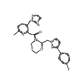 Cc1ccc(-n2nccn2)c(C(=O)N2CCCOC2Cn2ccc(-c3ccc(F)cc3)n2)n1